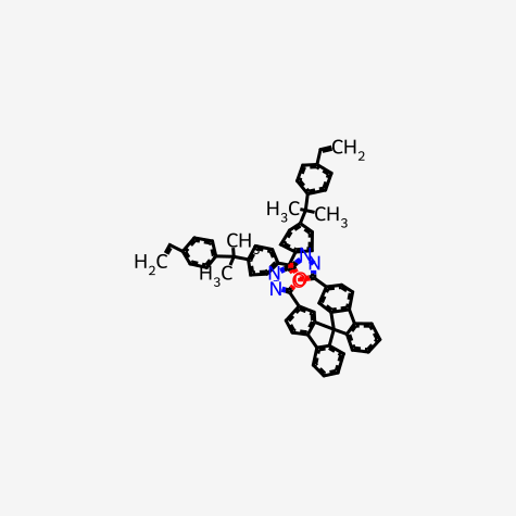 C=Cc1ccc(C(C)(C)c2ccc(-c3nnc(-c4ccc5c(c4)C4(c6ccccc6-5)c5ccccc5-c5ccc(-c6nnc(-c7ccc(C(C)(C)c8ccc(C=C)cc8)cc7)o6)cc54)o3)cc2)cc1